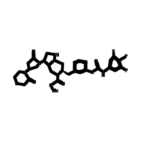 CC(C)(C)OC(=O)N1CC2C(N3CC(N4CCOCC4=O)CC3=O)CNN2C[C@@H]1Cc1cccc(OC(=O)Nc2cc(F)c(F)c(F)c2)c1